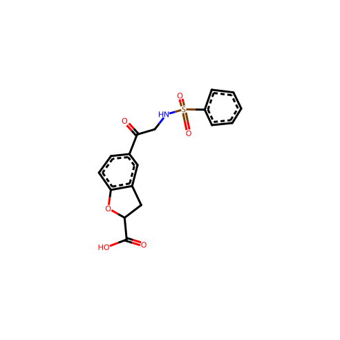 O=C(CNS(=O)(=O)c1ccccc1)c1ccc2c(c1)CC(C(=O)O)O2